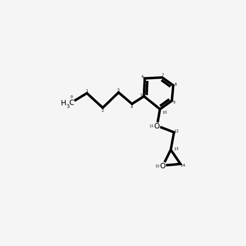 CCCCCc1ccccc1OCC1CO1